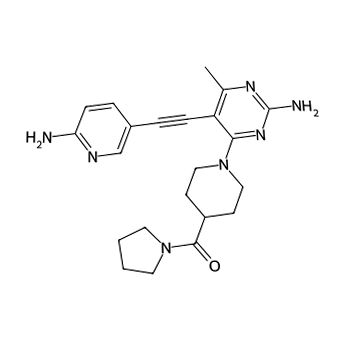 Cc1nc(N)nc(N2CCC(C(=O)N3CCCC3)CC2)c1C#Cc1ccc(N)nc1